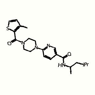 Cc1ccsc1C(=O)N1CCN(c2ccc(C(=O)NC(C)CC(C)C)cn2)CC1